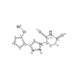 CC(C)Oc1cscc1-c1cn(C2CCC(=O)NC2=O)nn1